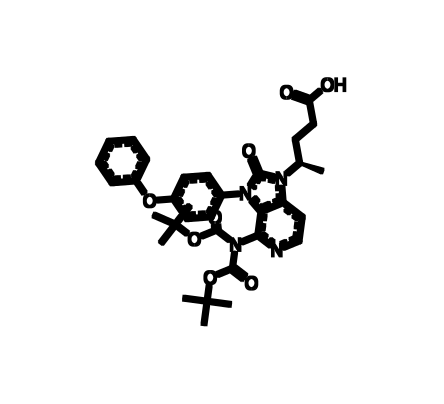 C[C@H](CCC(=O)O)n1c(=O)n(-c2ccc(Oc3ccccc3)cc2)c2c(N(C(=O)OC(C)(C)C)C(=O)OC(C)(C)C)nccc21